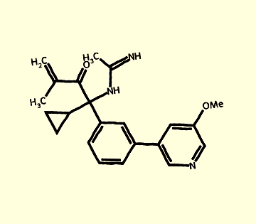 C=C(C)C(=O)C(NC(C)=N)(c1cccc(-c2cncc(OC)c2)c1)C1CC1